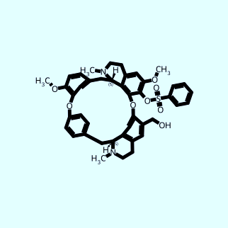 COc1ccc2cc1Oc1ccc(cc1)C[C@H]1c3cc(c(CO)cc3CCN1C)Oc1c(OS(=O)(=O)c3ccccc3)c(OC)cc3c1[C@H](C2)N(C)CC3